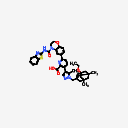 CCOC12CC3(C)CC(C)(CC(Cn4ncc(-c5ccc(-c6ccc7c(c6)N(C(=O)Nc6nc8ccccc8s6)CCO7)nc5C(=O)O)c4C)(C3)C1)C2